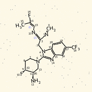 C=N/C(Cn1c(N2CC[C@H](F)[C@H](N)C2)nc2cc(C(F)(F)F)ccc21)=N\C=C(/C)F